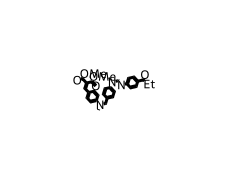 CCC(=O)c1ccc(N=CN(C)c2ccc(CN(C)c3ccc(C=C(C(=O)OC)C(=O)OC)cc3)cc2)cc1